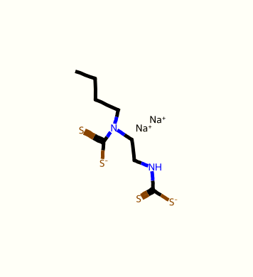 CCCCN(CCNC(=S)[S-])C(=S)[S-].[Na+].[Na+]